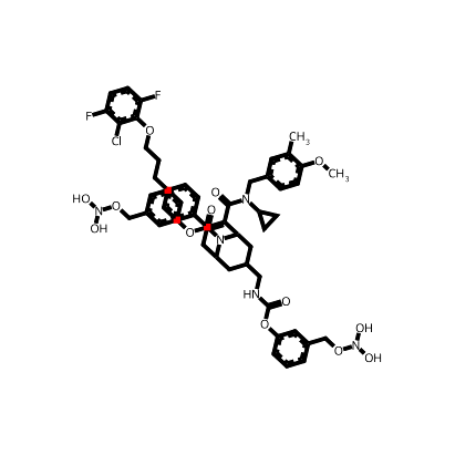 COc1ccc(CN(C(=O)C2=C(c3ccc(CCCOc4c(F)ccc(F)c4Cl)cc3)CC3CC(CNC(=O)Oc4cccc(CON(O)O)c4)CC2N3C(=O)Oc2cccc(CON(O)O)c2)C2CC2)cc1C